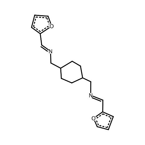 C(=N\CC1CCC(C/N=C/c2ccco2)CC1)/c1ccco1